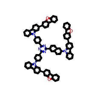 c1ccc2c(c1)oc1cc(-c3ccc4c5ccccc5n(-c5ccc(-c6nc(-c7ccc(-n8c9ccccc9c9ccc(-c%10ccc%11c(c%10)oc%10ccccc%10%11)cc98)cc7)nc(-c7ccc8cc(-n9c%10ccccc%10c%10ccc(-c%11ccc%12c(c%11)oc%11ccccc%11%12)cc%109)ccc8c7)n6)cc5)c4c3)ccc12